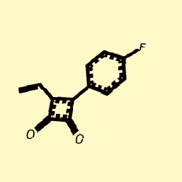 C=Cc1c(-c2ccc(F)cc2)c(=O)c1=O